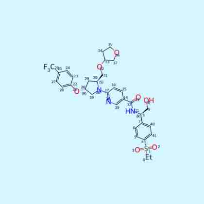 CCS(=O)(=O)c1ccc([C@H](CO)NC(=O)c2ccc(N3C[C@H](Oc4ccc(C(F)(F)F)cc4)C[C@H]3COC3CCOC3)nc2)cc1